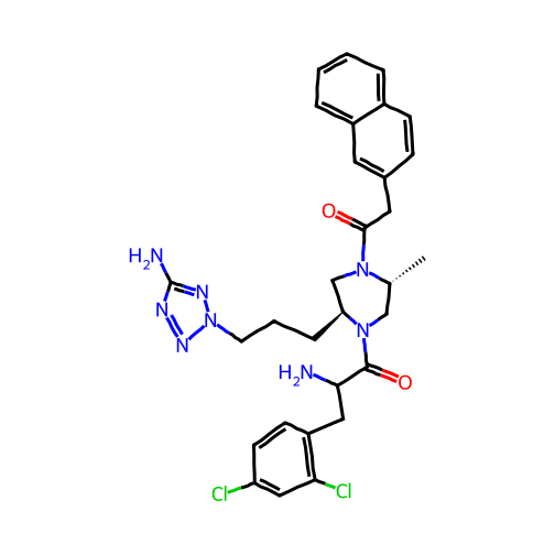 C[C@@H]1CN(C(=O)C(N)Cc2ccc(Cl)cc2Cl)[C@@H](CCCn2nnc(N)n2)CN1C(=O)Cc1ccc2ccccc2c1